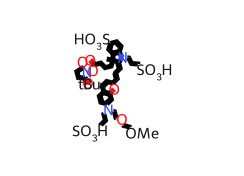 COCCOCCN(CCCS(=O)(=O)O)c1ccc2c(c1)OC(/C=C/C=C1/N(CCCS(=O)(=O)O)c3ccc(S(=O)(=O)O)cc3C1(C)CCCC(=O)ON1C(=O)CCC1=O)C=C2C(C)(C)C